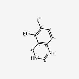 CCc1c(I)ccc2c1CNC=N2